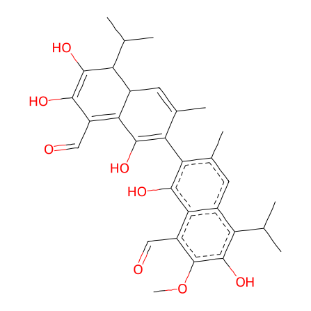 COc1c(O)c(C(C)C)c2cc(C)c(C3=C(O)C4=C(C=O)C(O)=C(O)C(C(C)C)C4C=C3C)c(O)c2c1C=O